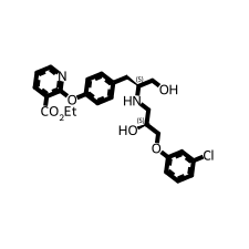 CCOC(=O)c1cccnc1Oc1ccc(C[C@@H](CO)NC[C@H](O)COc2cccc(Cl)c2)cc1